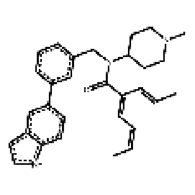 C\C=C/C=C(\C=C\C)C(=O)N(Cc1cccc(-c2ccc3[nH]ccc3c2)c1)C1CCN(C)CC1